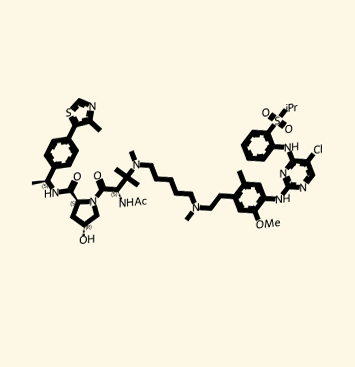 COc1cc(CCN(C)CCCCCN(C)C(C)(C)[C@H](NC(C)=O)C(=O)N2C[C@H](O)C[C@H]2C(=O)N[C@@H](C)c2ccc(-c3scnc3C)cc2)c(C)cc1Nc1ncc(Cl)c(Nc2ccccc2S(=O)(=O)C(C)C)n1